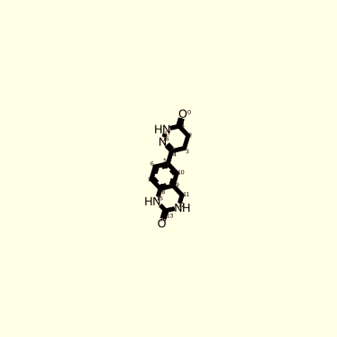 O=C1CCC(c2ccc3c(c2)CNC(=O)N3)=NN1